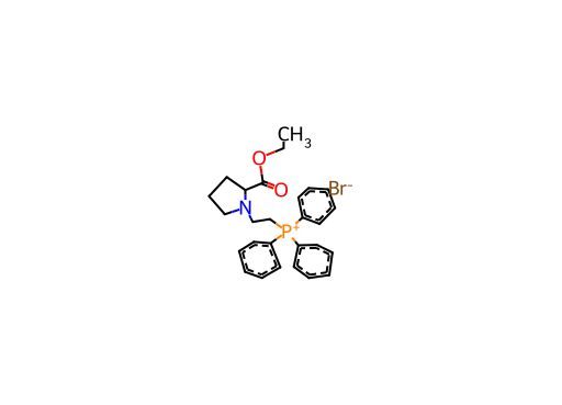 CCOC(=O)C1CCCN1CC[P+](c1ccccc1)(c1ccccc1)c1ccccc1.[Br-]